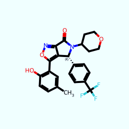 Cc1ccc(O)c(-c2onc3c2[C@@H](c2ccc(C(F)(F)F)cc2)N(C2CCOCC2)C3=O)c1